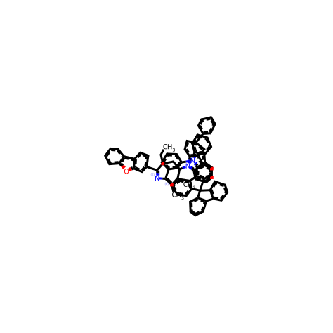 CCC1CC(n2c3ccccc3c3cc(-c4ccccc4)ccc32)C(C)/C(C)=C(c2cccc(-n3c4ccccc4c4ccc5c(c43)-c3ccccc3C53c4ccccc4-c4ccccc43)c2)/N=C\1c1ccc2c(c1)oc1ccccc12